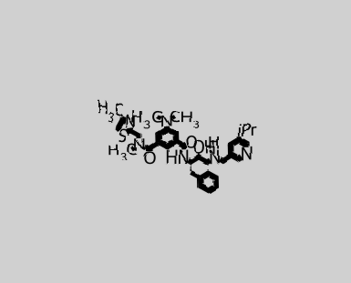 Cc1csc(CN(C)C(=O)c2cc(C(=O)N[C@@H](Cc3ccccc3)[C@H](O)CNCc3cncc(C(C)C)c3)cc(N(C)C)c2)n1